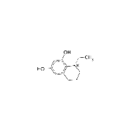 CC[C@@H]1CCCc2cc(O)cc(O)c21